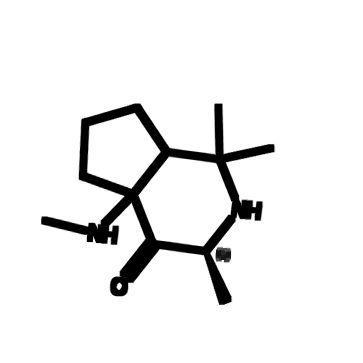 CNC12CCCC1C(C)(C)N[C@@H](C)C2=O